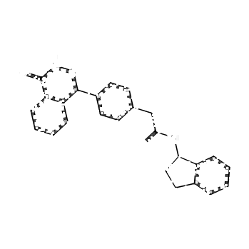 O=C(Cc1ccc(-c2n[nH]c(=O)c3ccccc23)cc1)NC1CCc2ccccc21